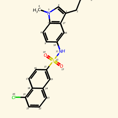 CNCCc1cn(C)c2ccc(NS(=O)(=O)c3ccc4c(Cl)cccc4c3)cc12